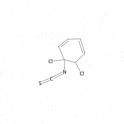 S=C=NC1(Cl)C=CC=CC1Cl